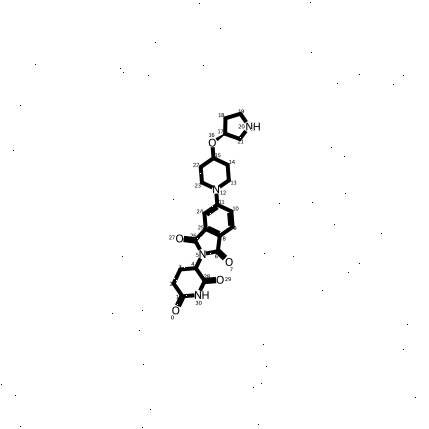 O=C1CCC(N2C(=O)c3ccc(N4CCC(O[C@H]5CCNC5)CC4)cc3C2=O)C(=O)N1